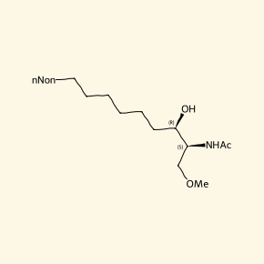 CCCCCCCCCCCCCCC[C@@H](O)[C@H](COC)NC(C)=O